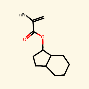 C=C(CCC)C(=O)OC1CCC2CCCCC21